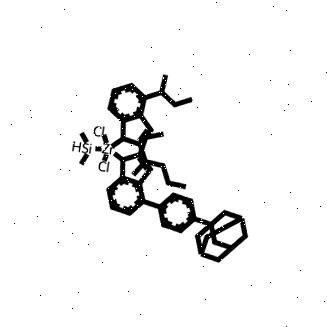 CCCC(C)C1=Cc2c(C(C)CC)cccc2[CH]1[Zr]([Cl])([Cl])([CH]1C(CC)=Cc2c(-c3ccc(C45CC6CC(CC(C6)C4)C5)cc3)cccc21)[SiH](C)C